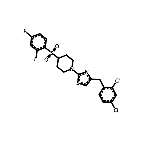 O=S(=O)(c1ccc(F)cc1F)C1CCN(c2nc(Cc3ccc(Cl)cc3Cl)cs2)CC1